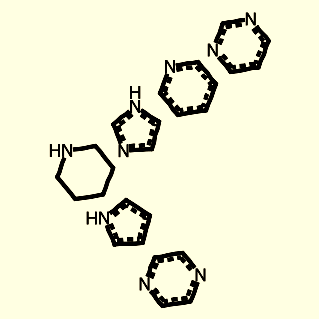 C1CCNCC1.c1c[nH]cn1.c1cc[nH]c1.c1ccncc1.c1cnccn1.c1cncnc1